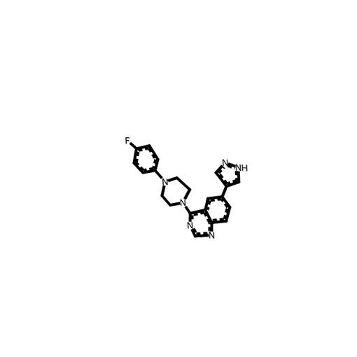 Fc1ccc(N2CCN(c3ncnc4ccc(-c5cn[nH]c5)cc34)CC2)cc1